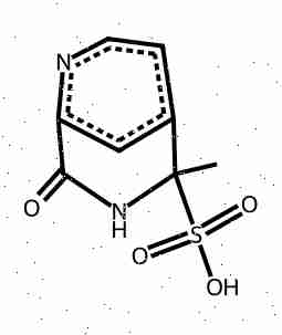 CC1(S(=O)(=O)O)NC(=O)c2cc1ccn2